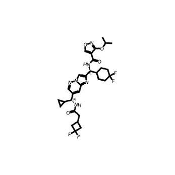 CC(C)Oc1nocc1C(=O)N[C@H](c1cn2ncc([C@H](NC(=O)CC3CC(F)(F)C3)C3CC3)cc2n1)C1CCC(F)(F)CC1